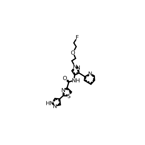 O=C(Nc1cn(CCOCCF)nc1-c1ccccn1)c1csc(-c2cn[nH]c2)n1